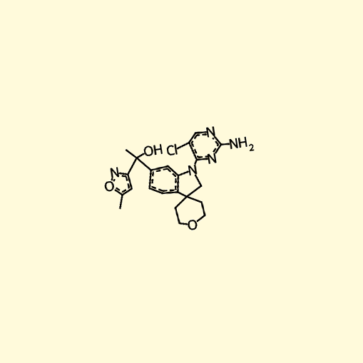 Cc1cc(C(C)(O)c2ccc3c(c2)N(c2nc(N)ncc2Cl)CC32CCOCC2)no1